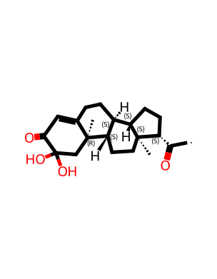 [CH2]C(=O)[C@H]1CC[C@H]2[C@@H]3CCC4=CC(=O)C(O)(O)C[C@]4(C)[C@H]3CC[C@]12C